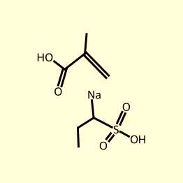 C=C(C)C(=O)O.CC[CH]([Na])S(=O)(=O)O